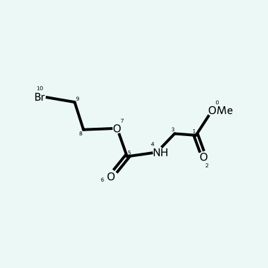 COC(=O)CNC(=O)OCCBr